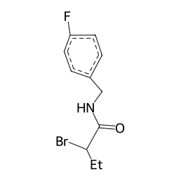 CCC(Br)C(=O)NCc1ccc(F)cc1